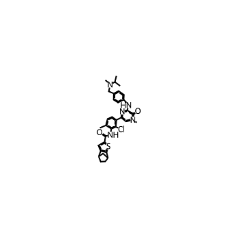 Cc1ccc(-c2cn(C)c(=O)c(Nc3ccc(CN(C)C(C)C)cc3)n2)c(Cl)c1NC(=O)c1cc2c(s1)C1CCC2C1